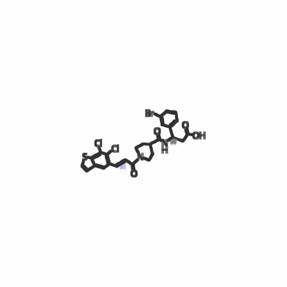 O=C(O)C[C@@H](NC(=O)C1CCN(C(=O)/C=C/c2cc3ccsc3c(Cl)c2Cl)CC1)c1cccc(Br)c1